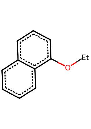 CCOc1cccc2ccccc12